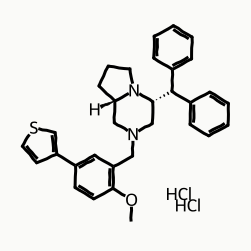 COc1ccc(-c2ccsc2)cc1CN1C[C@@H]2CCCN2[C@H](C(c2ccccc2)c2ccccc2)C1.Cl.Cl